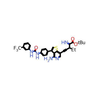 CCC(C#Cc1cnc(N)c2c(-c3ccc(NC(=O)Nc4cccc(C(F)(F)F)c4)cc3)csc12)C(=N)C(=O)OC(C)(C)C